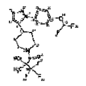 CC(O)(C(=O)N1CCC(c2ccnn2-c2ccc(OC(F)F)cc2)CC1)C(F)(F)F